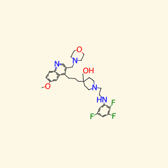 COc1ccc2ncc(CN3CCOCC3)c(CCCC3(CO)CCN(CCNc4cc(F)cc(F)c4F)CC3)c2c1